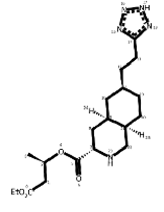 CCOC(=O)C[C@@H](C)OC(=O)[C@@H]1C[C@H]2C[C@@H](CCc3nn[nH]n3)CC[C@H]2CN1